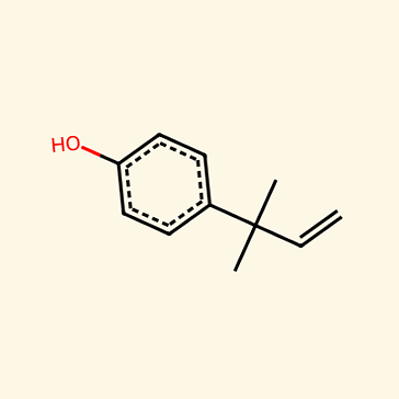 C=CC(C)(C)c1ccc(O)cc1